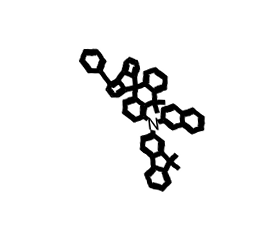 CC1(C)c2ccccc2-c2ccc(N(c3ccc4ccccc4c3)c3cccc4c3C(C)(C)c3ccccc3C43c4ccccc4-c4c(-c5ccccc5)cccc43)cc21